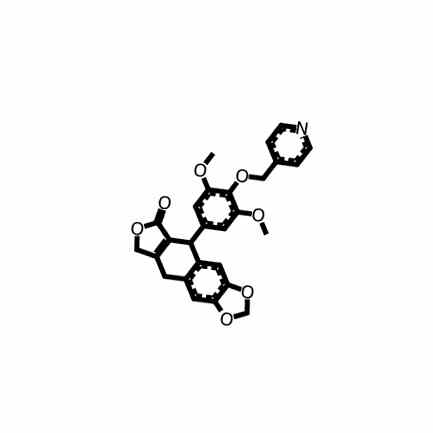 COc1cc(C2C3=C(COC3=O)Cc3cc4c(cc32)OCO4)cc(OC)c1OCc1ccncc1